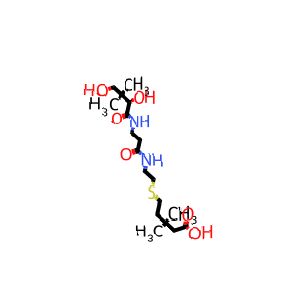 CC(C)(CCSCCNC(=O)CCNC(=O)C(O)C(C)(C)CO)CC(=O)O